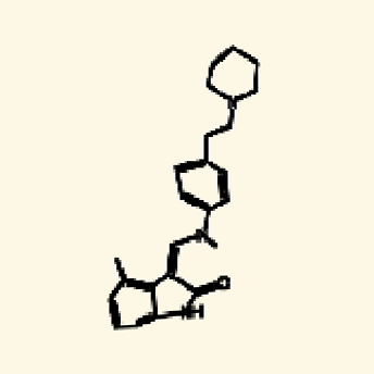 Cc1cccc2c1C(=CN(C)c1ccc(CCN3CCCCC3)cc1)C(=O)N2